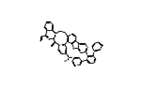 C=CC1=NC2C(=C)[n+]3ccc(C(C)C(C)C)cc3-c3c(ccc4c3oc3nc(-c5c(-c6ccccc6)cccc5-c5ccccc5)ccc34)CCC2c2ccccc21